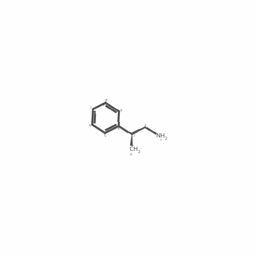 [CH2][C@H](CN)c1ccccc1